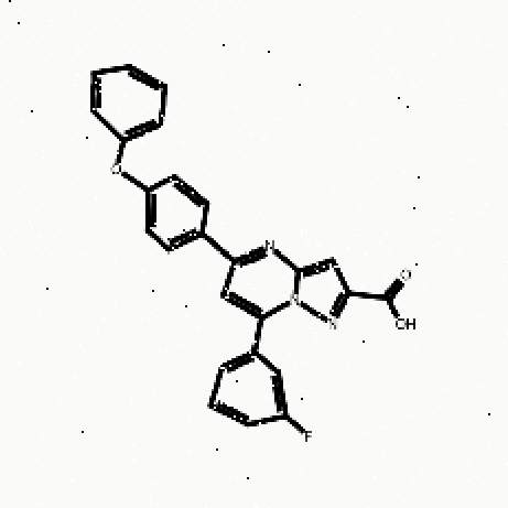 O=C(O)c1cc2nc(-c3ccc(Oc4ccccc4)cc3)cc(-c3cccc(F)c3)n2n1